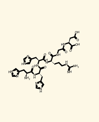 N=C(N)NCCC[C@H](NC(=O)[C@H](Cc1c[nH]cn1)NC(=O)[C@H](Cc1c[nH]cn1)NC(=O)[C@@H](N)Cc1c[nH]cn1)C(=O)NCC(=O)N[C@@H](CC(=O)O)C(=O)O